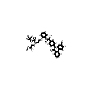 COC(=O)CCN(CCOc1ccccc1N(C)C(=O)c1ccc(NC(=O)c2ccccc2-c2ccc(C)cc2)cc1)C(=O)OC(C)(C)C